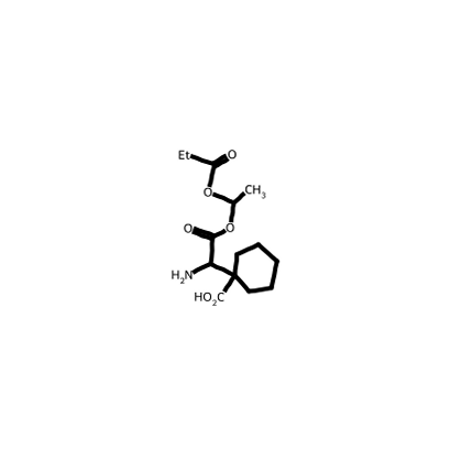 CCC(=O)OC(C)OC(=O)C(N)C1(C(=O)O)CCCCC1